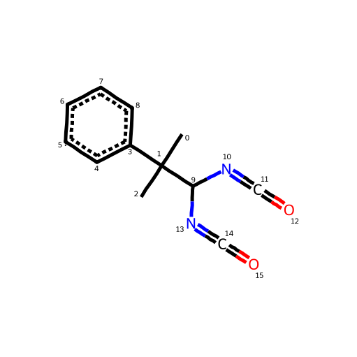 CC(C)(c1c[c]ccc1)C(N=C=O)N=C=O